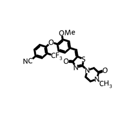 COc1cc(/C=C2/SC(N3CCN(C)C(=O)C3)=NC2=O)ccc1Oc1ccc(C#N)cc1C(F)(F)F